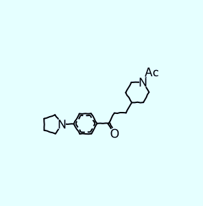 CC(=O)N1CCC(CCC(=O)c2ccc(N3CCCC3)cc2)CC1